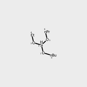 CCCCO[SiH](OCC)OCCC